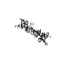 CCON=C(C(=O)OCC)c1csc(NC(=O)Nc2nc(C(=NOCC)C(=O)OCC)cs2)n1